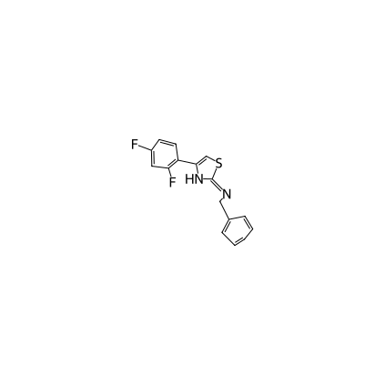 Fc1ccc(-c2csc(=NCc3ccccc3)[nH]2)c(F)c1